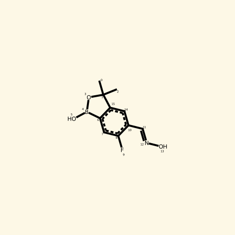 CC1(C)OB(O)c2cc(F)c(C=NO)cc21